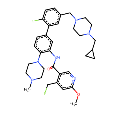 COc1cc(CF)c(C(=O)Nc2cc(-c3cc(CN4CCN(CC5CC5)CC4)ccc3F)ccc2N2CCN(C)CC2)cn1